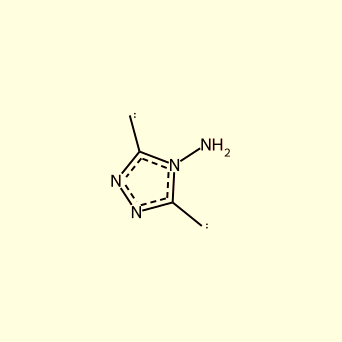 [CH]c1nnc([CH])n1N